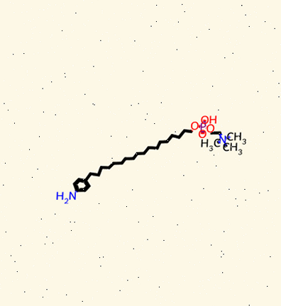 C[N+](C)(C)CCOP(=O)(O)OCCCCCCCCCCCCCCCCCCc1ccc(N)cc1